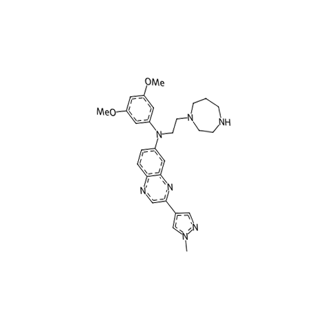 COc1cc(OC)cc(N(CCN2CCCNCC2)c2ccc3ncc(-c4cnn(C)c4)nc3c2)c1